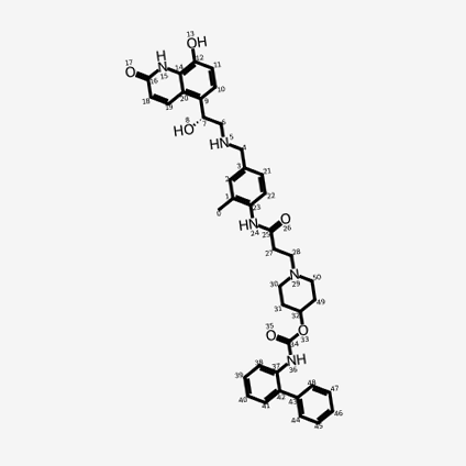 Cc1cc(CNC[C@H](O)c2ccc(O)c3[nH]c(=O)ccc23)ccc1NC(=O)CCN1CCC(OC(=O)Nc2ccccc2-c2ccccc2)CC1